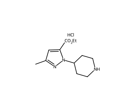 CCOC(=O)c1cc(C)nn1C1CCNCC1.Cl